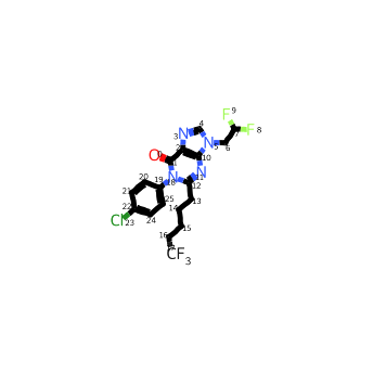 O=c1c2ncn(CC(F)F)c2nc(CCCCC(F)(F)F)n1-c1ccc(Cl)cc1